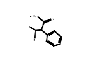 CCCCCCC(=O)C(c1ccccc1)C(F)F